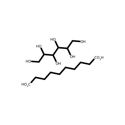 O=C(O)CCCCCCCCC(=O)O.OCC(O)C(O)C(O)C(O)CO